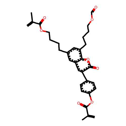 C=C(C)C(=O)OCCCCc1cc(CCCCOC=O)c2oc(=O)c(-c3ccc(OC(=O)C(=C)C)cc3)cc2c1